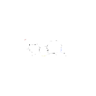 O=C(O)N1CCCc2c(sc3ccc(Br)cc23)C1